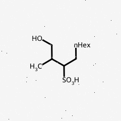 CCCCCCCC(C(C)CO)S(=O)(=O)O